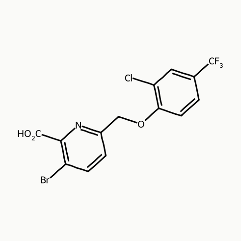 O=C(O)c1nc(COc2ccc(C(F)(F)F)cc2Cl)ccc1Br